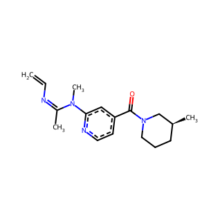 C=C/N=C(/C)N(C)c1cc(C(=O)N2CCC[C@H](C)C2)ccn1